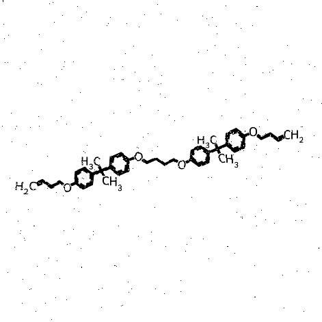 C=CCCOc1ccc(C(C)(C)c2ccc(OCCCCOc3ccc(C(C)(C)c4ccc(OCCC=C)cc4)cc3)cc2)cc1